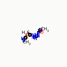 Cc1cc(Nc2ncnc3cnc(N4CC5(CCN(C)C5=O)C4)nc23)ccc1Oc1ccc2c(c1)ncn2C